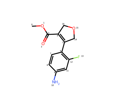 COC(=O)C1=C(c2ccc(N)cc2F)COC1